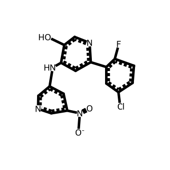 O=[N+]([O-])c1cncc(Nc2cc(-c3cc(Cl)ccc3F)ncc2O)c1